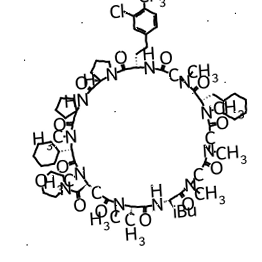 CC[C@H](C)[C@@H]1NC(=O)[C@H](C)N(C)C(=O)C[C@@H](C(=O)N2CCOCC2)N(C)C(=O)[C@H](C2CCCCC2)N(C)C(=O)C2(CCCC2)NC(=O)[C@@H]2CCCN2C(=O)[C@H](CCc2ccc(C(F)(F)F)c(Cl)c2)NC(=O)CN(C)C(=O)[C@H](CC2CCCCC2)N(C)C(=O)CN(C)C(=O)CN(C)C1=O